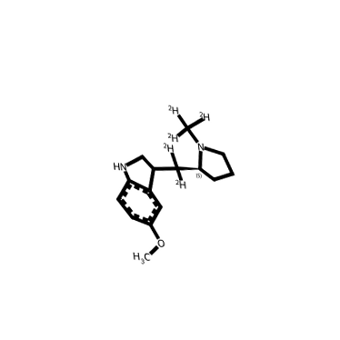 [2H]C([2H])(C1CNc2ccc(OC)cc21)[C@@H]1CCCN1C([2H])([2H])[2H]